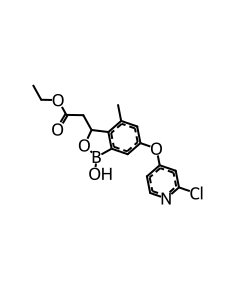 CCOC(=O)CC1OB(O)c2cc(Oc3ccnc(Cl)c3)cc(C)c21